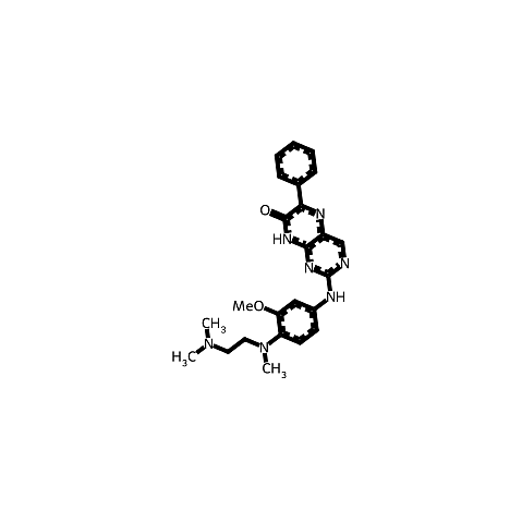 COc1cc(Nc2ncc3nc(-c4ccccc4)c(=O)[nH]c3n2)ccc1N(C)CCN(C)C